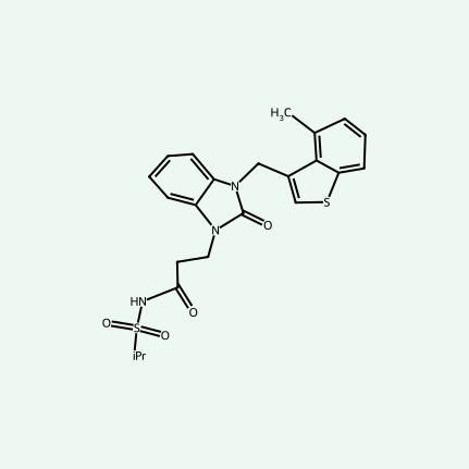 Cc1cccc2scc(Cn3c(=O)n(CCC(=O)NS(=O)(=O)C(C)C)c4ccccc43)c12